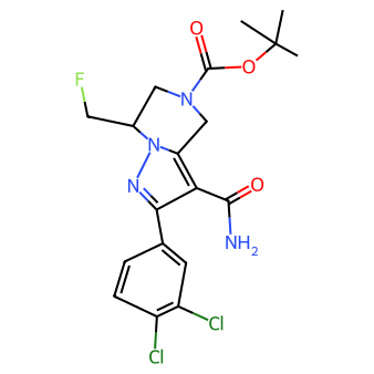 CC(C)(C)OC(=O)N1Cc2c(C(N)=O)c(-c3ccc(Cl)c(Cl)c3)nn2C(CF)C1